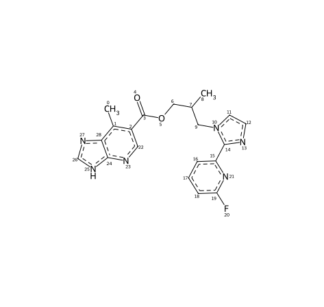 Cc1c(C(=O)OCC(C)Cn2ccnc2-c2cccc(F)n2)cnc2[nH]cnc12